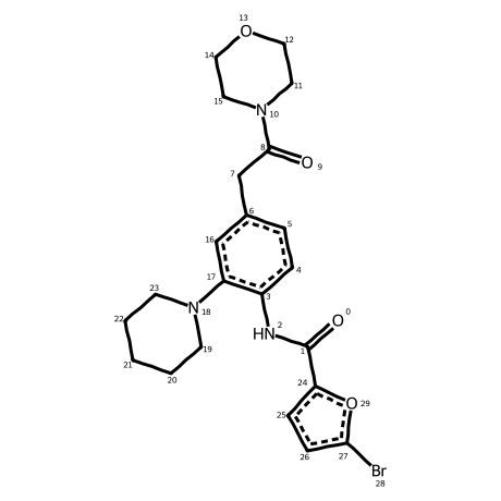 O=C(Nc1ccc(CC(=O)N2CCOCC2)cc1N1CCCCC1)c1ccc(Br)o1